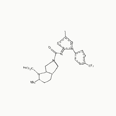 Cc1cn(-c2ccc(C(F)(F)F)cc2)c(=NC(=O)N2CC3CCC(C(C)(C)C)N(C(=O)O)C3C2)s1